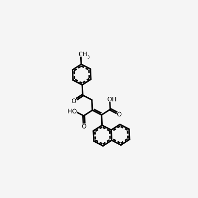 Cc1ccc(C(=O)CC(C(=O)O)=C(C(=O)O)c2cccc3ccccc23)cc1